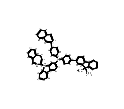 CC1(C)c2ccccc2-c2ccc(-c3ccc(N(c4ccc(-c5ccc6ccccc6c5)cc4)c4ccc5c6ccccc6n(C6=CCc7ccccc7C=N6)c5c4)cc3)cc21